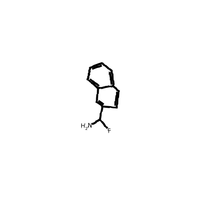 NC(F)c1ccc2ccccc2c1